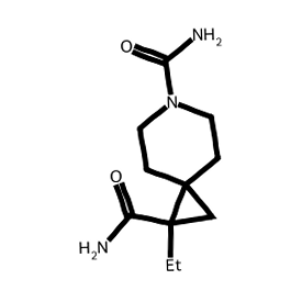 CCC1(C(N)=O)CC12CCN(C(N)=O)CC2